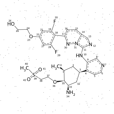 C[C@H]1C[C@@H](c2ccncc2Nc2ncc3ccc(-c4c(F)cc(OCCO)cc4F)nn23)C[C@@H](N)[C@H]1OCCS(C)(=O)=O